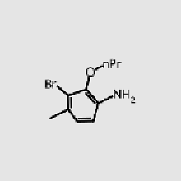 CCCOc1c(N)ccc(C)c1Br